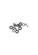 Cc1cnc(CNC(=O)C2c3ccccc3C(=O)N2Cc2ccccc2-c2ccccc2)cn1